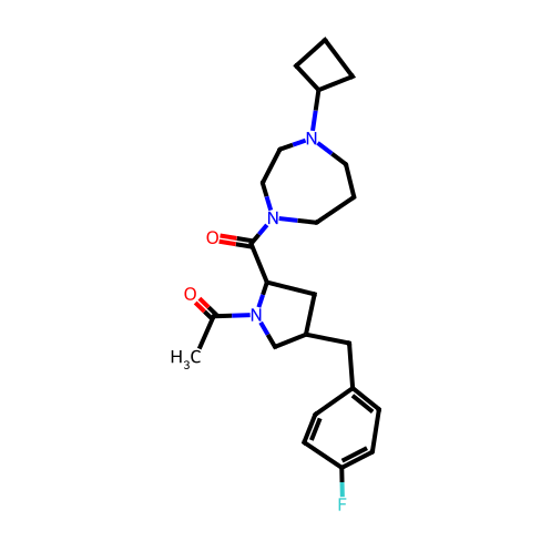 CC(=O)N1CC(Cc2ccc(F)cc2)CC1C(=O)N1CCCN(C2CCC2)CC1